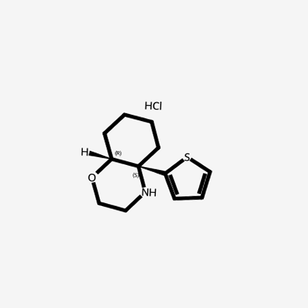 Cl.c1csc([C@]23CCCC[C@H]2OCCN3)c1